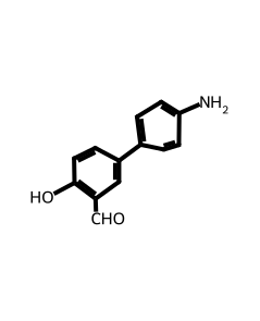 Nc1ccc(-c2ccc(O)c(C=O)c2)cc1